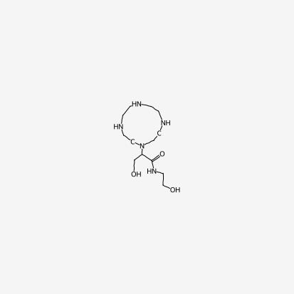 O=C(NCCO)C(CO)N1CCNCCNCCNCC1